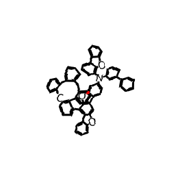 c1ccc(-c2cccc(N(c3ccc4c(c3)oc3c(-c5cccc6c5-c5ccccc5Cc5ccccc5-c5ccccc5C6)c5c(cc34)oc3ccccc35)c3cccc4c3oc3ccccc34)c2)cc1